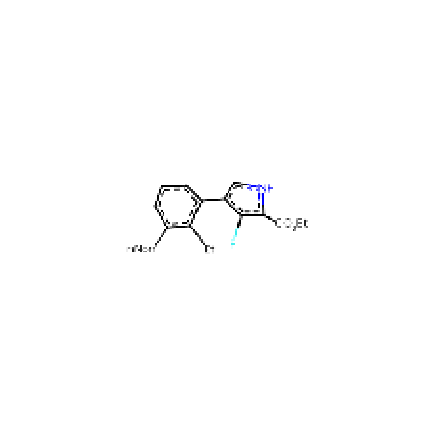 CCCCCCCCCc1cccc(-c2c[nH]c(C(=O)OCC)c2F)c1CC